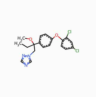 CCC(Cn1cncn1)(OC)c1ccc(Oc2ccc(Cl)cc2Cl)cc1